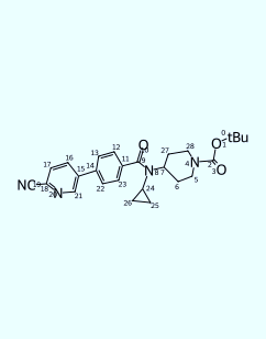 CC(C)(C)OC(=O)N1CCC(N(C(=O)c2ccc(-c3ccc(C#N)nc3)cc2)C2CC2)CC1